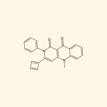 Cn1c2ccccc2c(=O)c2c(=O)n(-c3ccccc3)c(C3=CC=C3)cc21